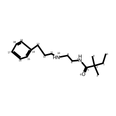 CCC(C)(C)C(=O)NCCNCCCc1ccccc1